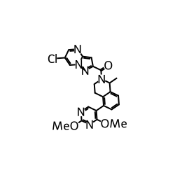 COc1ncc(-c2cccc3c2CCN(C(=O)c2cc4ncc(Cl)cn4n2)C3C)c(OC)n1